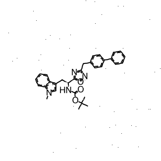 Cn1cc(C[C@H](NC(=O)OC(C)(C)C)c2nc(Cc3ccc(-c4ccccc4)cc3)no2)c2ccccc21